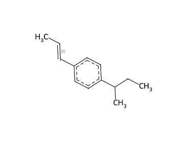 C/C=[C]/c1ccc(C(C)CC)cc1